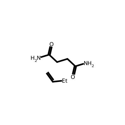 C=CCC.NC(=O)CCC(N)=O